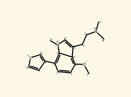 COc1ccc(-c2ccsc2)c2c1c(CCN(C)C)cn2C